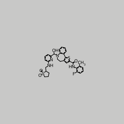 Cc1cccc(F)c1NC(=O)c1cc2c(s1)-c1ccccc1N(C(O)c1cccc(NCC3CCCS3(=O)=O)n1)CC2